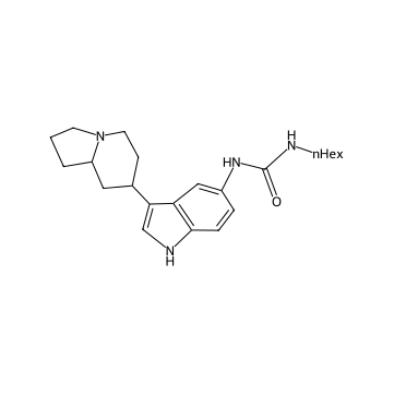 CCCCCCNC(=O)Nc1ccc2[nH]cc(C3CCN4CCCC4C3)c2c1